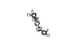 O=S(=O)(c1ccc(F)c(Cl)c1)N1CCN(c2nc(-c3ccc(Cl)c(F)c3)cs2)CC1